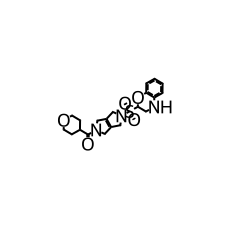 O=C(C1CCOCC1)N1CC2=C(C1)CN(S(=O)(=O)C1CNc3ccccc3O1)C2